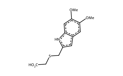 COc1cc2cc(CSCC(=O)O)[nH]c2cc1OC